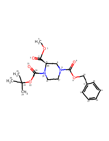 COC(=O)[C@H]1CN(C(=O)OCc2ccccc2)CCN1C(=O)OC(C)(C)C